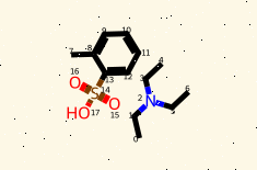 CCN(CC)CC.Cc1ccccc1S(=O)(=O)O